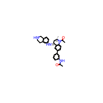 CC(=O)Nc1cccc(-c2ccc3c(c2)[C@H](Nc2ccc4c(c2)CCNC4)C[C@H](C)N3C(C)=O)c1